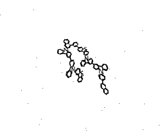 c1cc(-c2ccc3c(c2)sc2ccc(-n4c5ccccc5c5cc(-c6ccc7c(c6)c6ccccc6n7-c6ccc(-c7ccc8ccccc8c7)cc6)ccc54)cc23)cc(-c2cc(-n3c4ccccc4c4cc(-c5ccc6c(c5)c5ccccc5n6-c5ccc6sc7ccccc7c6c5)ccc43)cc3ccccc23)c1